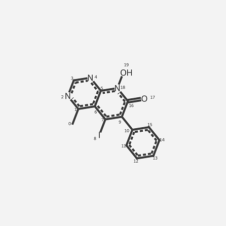 Cc1ncnc2c1c(I)c(-c1ccccc1)c(=O)n2O